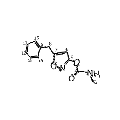 CNC(=O)Oc1cc(Cc2ccccc2)on1